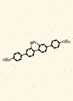 CCCCc1ccc(-c2ccc(-c3ccc(-c4ccc(CCCC)cc4)cc3CCC)c(F)c2)cc1